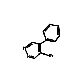 CC(C)c1cnncc1-c1ccccc1